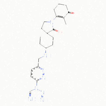 CC1=C(N2C(=O)[C@]3(CC[C@H](NCc4ccc(N(C=N)N=N)nn4)CC3)C[C@@H]2C)CCCC1=O